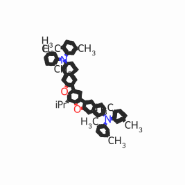 Cc1ccc(C)c(N(c2ccc3cc4c(cc3c2)oc2c(C(C)C)c3oc5cc6cc(N(c7cc(C)ccc7C)c7cc(C)ccc7C)ccc6cc5c3cc24)c2cc(C)ccc2C)c1